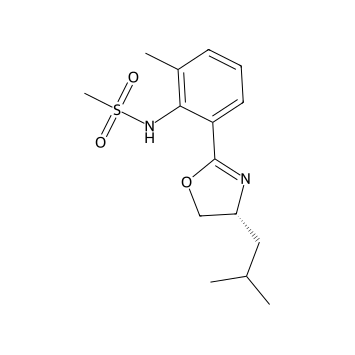 Cc1cccc(C2=N[C@H](CC(C)C)CO2)c1NS(C)(=O)=O